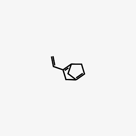 C=CC1=C2CC=C(C1)C2